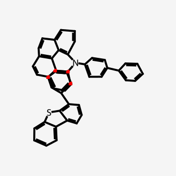 c1ccc(-c2ccc(N(c3cccc(-c4cccc5c4sc4ccccc45)c3)c3cccc4ccc5ccc6ccccc6c5c34)cc2)cc1